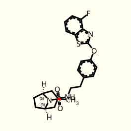 CS(=O)(=O)N1[C@@H]2CC[C@H]1CC(NCCc1ccc(Oc3nc4c(F)cccc4s3)cc1)C2